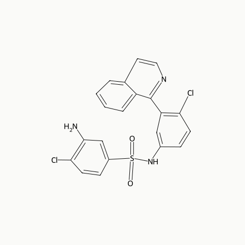 Nc1cc(S(=O)(=O)Nc2ccc(Cl)c(-c3nccc4ccccc34)c2)ccc1Cl